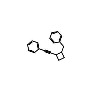 C(#CC1CCC1Cc1ccccc1)c1ccccc1